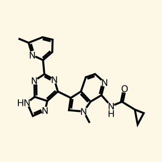 Cc1cccc(-c2nc(-c3cn(C)c4c(NC(=O)C5CC5)nccc34)c3nc[nH]c3n2)n1